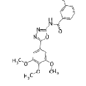 COc1cc(-c2nnc(NC(=O)c3cccc(Cl)c3)o2)cc(OC)c1OC